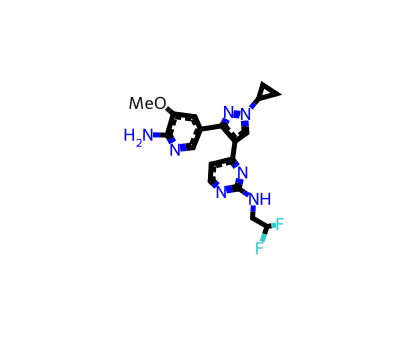 COc1cc(-c2nn(C3CC3)cc2-c2ccnc(NCC(F)F)n2)cnc1N